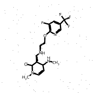 CNC1C=CN(C)C(Cl)/C1=C/NCCOc1ncc(C(F)(F)F)cc1F